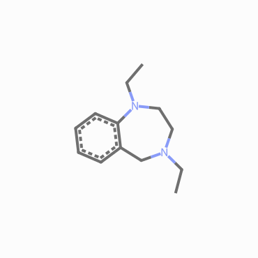 CCN1CCN(CC)c2ccccc2C1